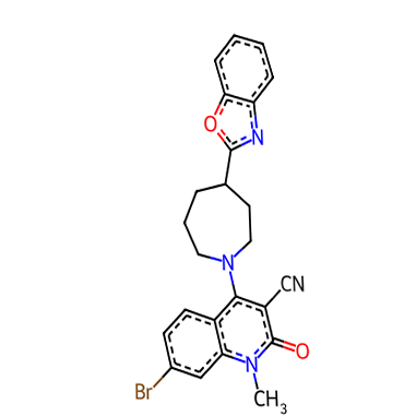 Cn1c(=O)c(C#N)c(N2CCCC(c3nc4ccccc4o3)CC2)c2ccc(Br)cc21